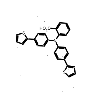 O=C(O)c1ccccc1N(c1ccc(-c2cccs2)cc1)c1ccc(-c2cccs2)cc1